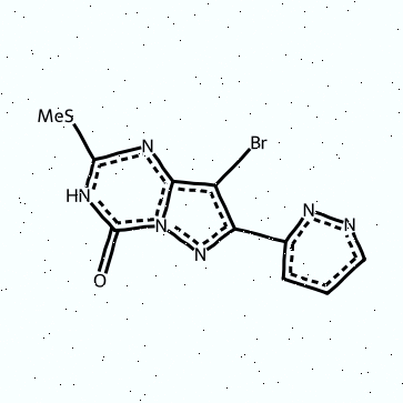 CSc1nc2c(Br)c(-c3cccnn3)nn2c(=O)[nH]1